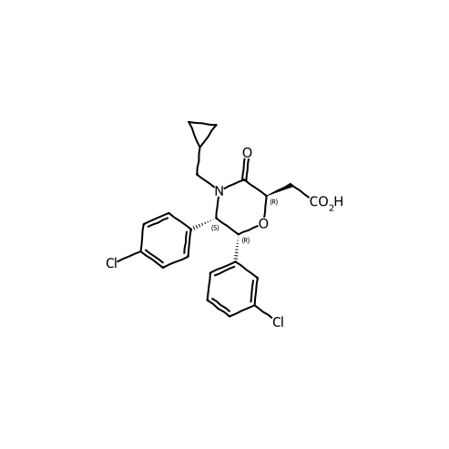 O=C(O)C[C@H]1O[C@H](c2cccc(Cl)c2)[C@H](c2ccc(Cl)cc2)N(CC2CC2)C1=O